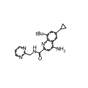 CC(C)(C)c1cc(C2CC2)cc2c(N)cc(C(=O)NCc3ncccn3)nc12